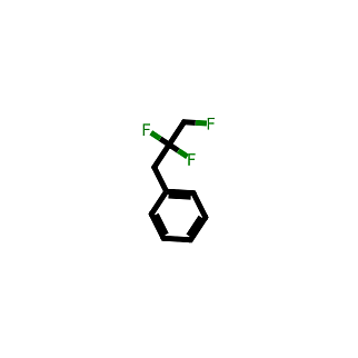 FCC(F)(F)Cc1ccccc1